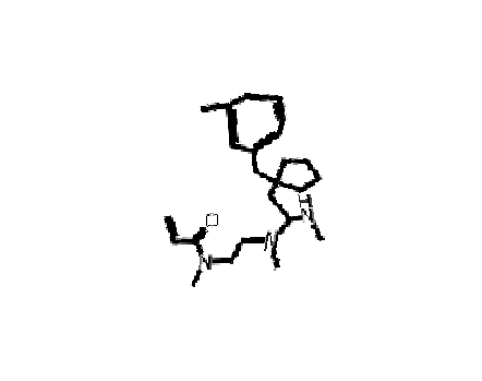 C=CC(=O)N(C)CCN(C)C(CC1(CC2=CC=CCC(C)=C2)CCCC1)NC